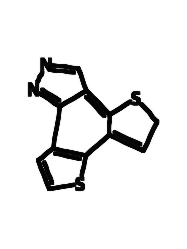 C1=NN=c2c1c1c(c3sccc23)=CCS1